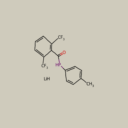 Cc1ccc(PC(=O)c2c(C(F)(F)F)cccc2C(F)(F)F)cc1.[LiH]